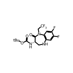 CC(C)(C)OC(=O)N[C@H]1CNc2cc(F)c(F)cc2N(CC(F)(F)F)C1=O